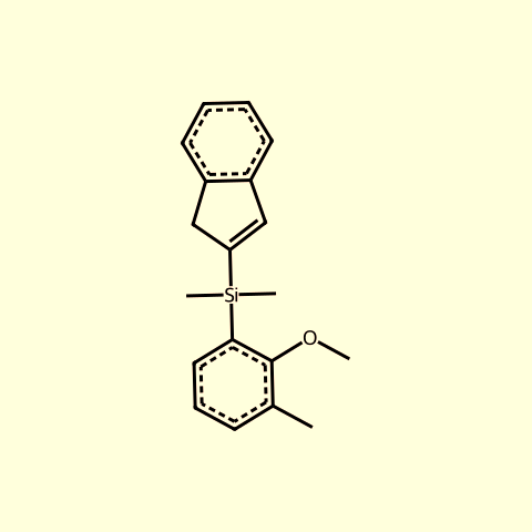 COc1c(C)cccc1[Si](C)(C)C1=Cc2ccccc2C1